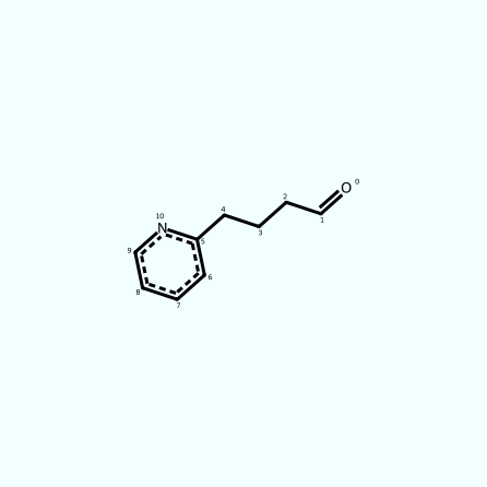 O=CCCCc1ccccn1